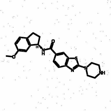 COc1ccc2c(c1)[C@H](NC(=O)c1ccc3nc(N4CCNCC4)sc3c1)CC2